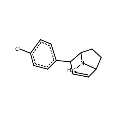 CN1C2C=CC(c3ccc(Cl)cc3)C1CC2